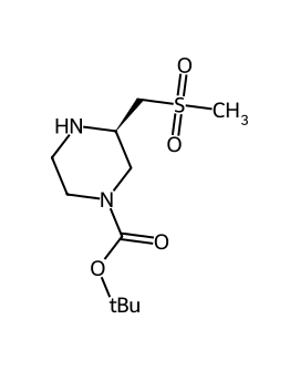 CC(C)(C)OC(=O)N1CCN[C@@H](CS(C)(=O)=O)C1